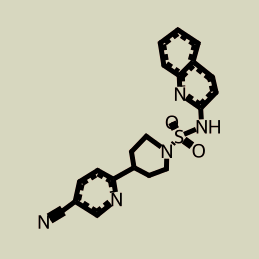 N#Cc1ccc(C2CCN(S(=O)(=O)Nc3ccc4ccccc4n3)CC2)nc1